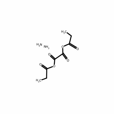 CCC(=O)OC(=O)C(=O)OC(=O)CC.N.N